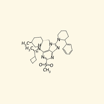 C[C@@H](Nc1nc(S(C)(=O)=O)nc2nc(N3CCCCC3c3ccccc3)n(C[C@H]3CC[C@H](C)CC3)c12)C1CCC1